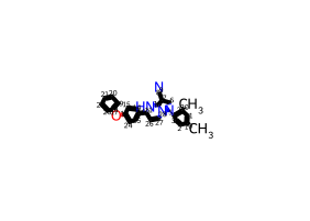 Cc1ccc(N2CC(C#N)C3NC(c4ccc(Oc5ccccc5)cc4)C=CN32)c(C)c1